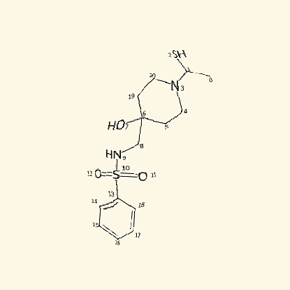 CC(S)N1CCC(O)(CNS(=O)(=O)c2ccccc2)CC1